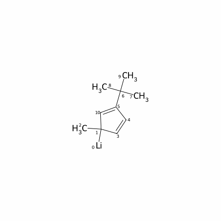 [Li][C]1(C)C=CC(C(C)(C)C)=C1